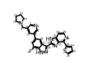 Fc1cc(-c2cncc(CN3CCCC3)c2)cc2c(-c3nc4c(-c5cccs5)nccc4[nH]3)n[nH]c12